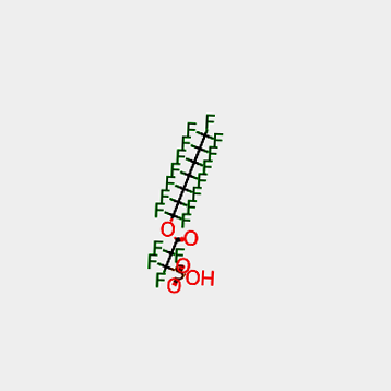 O=C(OC(F)(F)C(F)(F)C(F)(F)C(F)(F)C(F)(F)C(F)(F)C(F)(F)F)C(F)(F)C(F)(F)S(=O)(=O)O